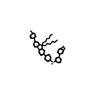 CCCCCCC1(CCCCCC)c2cc(-c3ccc(C)cc3)ccc2-c2ccc(-c3ccc(N(C)c4cccc(-c5ccc6c(c5)CC6)c4)cc3)cc21